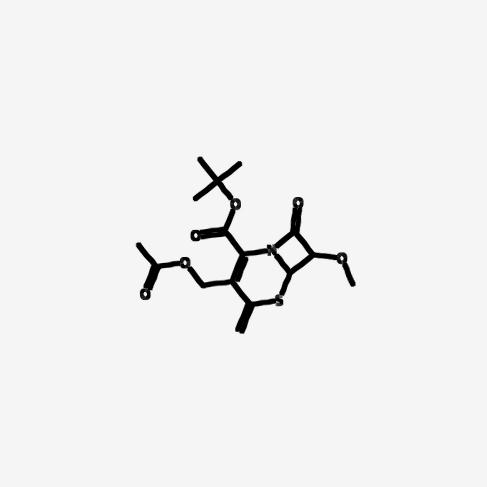 C=C1SC2C(OC)C(=O)N2C(C(=O)OC(C)(C)C)=C1COC(C)=O